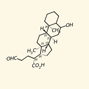 C[C@]12CC[C@H]3[C@@H](CC(O)C4CCCC[C@@]43C)[C@@H]1CC[C@@H]2[C@@H](CC[C]=O)C(=O)O